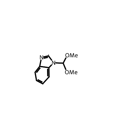 COC(OC)n1[c]nc2ccccc21